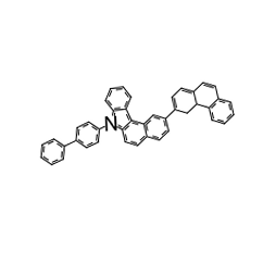 C1=Cc2ccccc2C2CC(c3ccc4ccc5c(c4c3)c3ccccc3n5-c3ccc(-c4ccccc4)cc3)=CC=C12